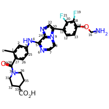 Cc1cc(Nc2nccn3c(-c4ccc(OCN)c(F)c4F)cnc23)ccc1C(=O)N1CCC(C(=O)O)CC1